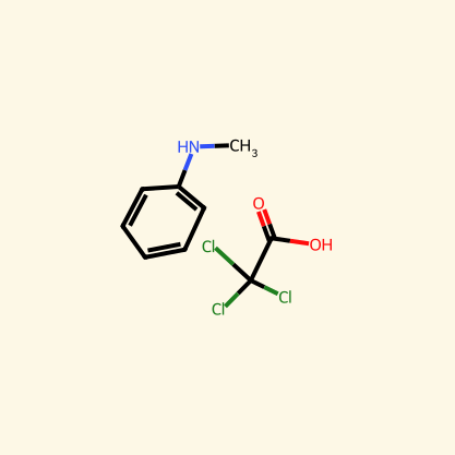 CNc1ccccc1.O=C(O)C(Cl)(Cl)Cl